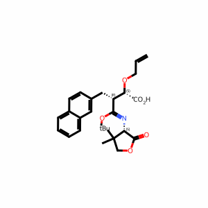 C=CCO[C@H](C(=O)O)[C@@H](Cc1ccc2ccccc2c1)C(=N[C@@H]1C(=O)OCC1(C)C)OC(C)(C)C